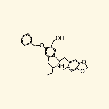 CCC1Cc2cc(OCc3ccccc3)c(CO)cc2C(Cc2cc3c(cc2C)OCO3)N1